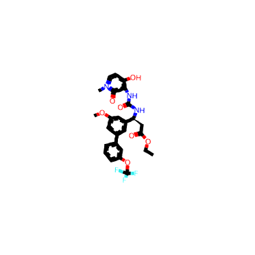 CCOC(=O)C[C@H](NC(=O)Nc1c(O)ccn(C)c1=O)c1cc(OC)cc(-c2cccc(OC(F)(F)F)c2)c1